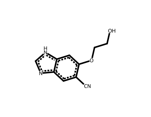 N#Cc1cc2nc[nH]c2cc1OCCO